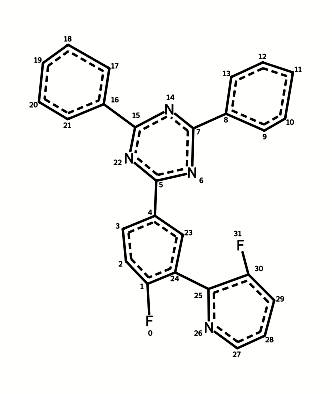 Fc1ccc(-c2nc(-c3ccccc3)nc(-c3ccccc3)n2)cc1-c1ncccc1F